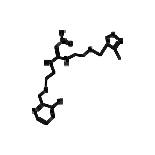 Cc1nscc1CSCCN/C(=C\[N+](=O)[O-])NCCSCc1ncccc1Cl